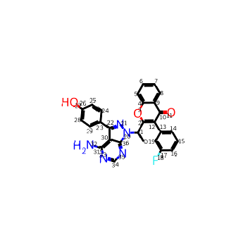 CC(c1oc2ccccc2c(=O)c1-c1cccc(F)c1)n1nc(-c2ccc(O)cc2)c2c(N)ncnc21